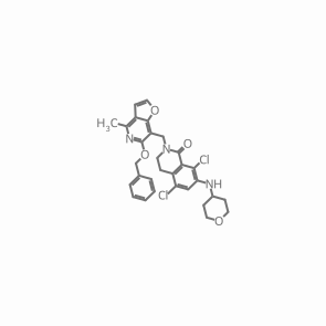 Cc1nc(OCc2ccccc2)c(CN2CCc3c(Cl)cc(NC4CCOCC4)c(Cl)c3C2=O)c2occc12